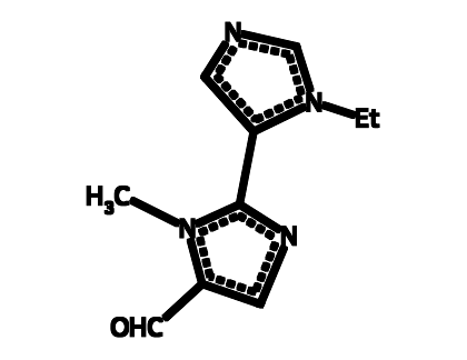 CCn1cncc1-c1ncc(C=O)n1C